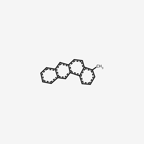 Cc1cccc2c1ccc1cc3ccccc3cc12